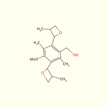 COc1c(C)c(C2OCC2C)c(CO)c(C)c1C1OCC1C